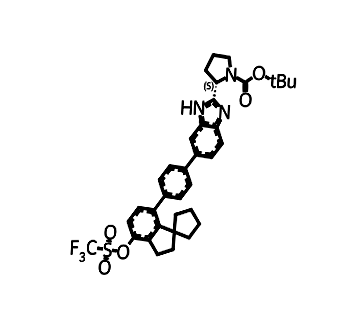 CC(C)(C)OC(=O)N1CCC[C@H]1c1nc2ccc(-c3ccc(-c4ccc(OS(=O)(=O)C(F)(F)F)c5c4C4(CCCC4)CC5)cc3)cc2[nH]1